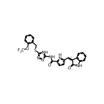 O=C1Nc2ccccc2/C1=C/c1ccc(C(=O)Nc2nnc(SCc3ccccc3OC(F)(F)F)[nH]2)[nH]1